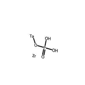 O=P(O)(O)[O][Ta].[Zr]